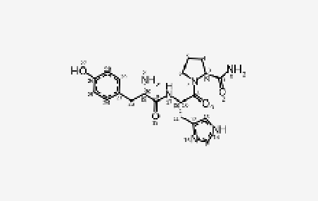 NC(=O)[C@@H]1CCCN1C(=O)[C@H](Cc1c[nH]cn1)NC(=O)[C@@H](N)Cc1ccc(O)cc1